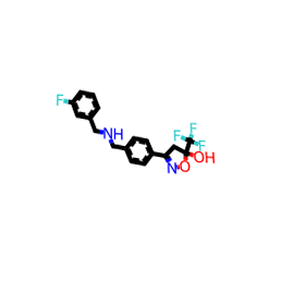 OC1(C(F)(F)F)CC(c2ccc(CNCc3cccc(F)c3)cc2)=NO1